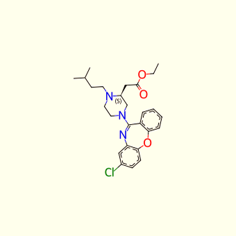 CCOC(=O)C[C@H]1CN(C2=Nc3cc(Cl)ccc3Oc3ccccc32)CCN1CCC(C)C